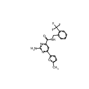 Cc1ccc(-c2cc(C(=O)NCc3ccccc3C(F)(F)F)nc(N)n2)o1